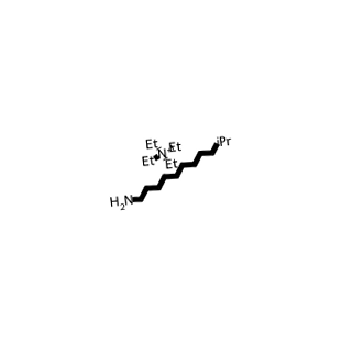 CC(C)CCCCCCCCCN.CC[N+](CC)(CC)CC